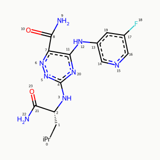 CC(C)C[C@@H](Nc1nnc(C(N)=O)c(Nc2cncc(F)c2)n1)C(N)=O